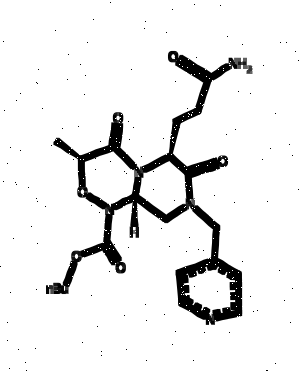 CCCCOC(=O)N1O[C@@H](C)C(=O)N2[C@@H]1CN(Cc1ccncc1)C(=O)[C@@H]2CCC(N)=O